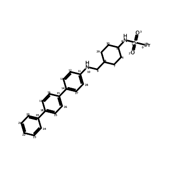 CC(C)S(=O)(=O)NC1CCC(CNc2ccc(-c3ccc(-c4ccccc4)cc3)cc2)CC1